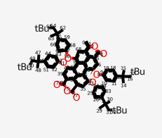 C=c1oc(=O)c2cc(Oc3ccc(C(C)(C)CC(C)(C)C)cc3)c3c4c(Oc5ccc(C(C)(C)CC(C)(C)C)cc5)cc5c6c(cc(Oc7ccc(C(C)(C)CC(C)(C)C)cc7)c(c7c(Oc8ccc(C(C)(C)CC(C)(C)C)cc8)cc1c2c73)c64)C(=O)OC5=O